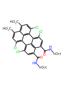 CCCCCCCCNC(=O)c1cc(Cl)c2c3c(Cl)cc(C(=O)O)c4c(C(=O)O)cc(Cl)c(c5c(Cl)cc(C(=O)NCCCCCCCC)c1c25)c43